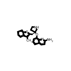 Cc1c(C[C@@]2(Oc3cccc4ccc(N)nc34)CCNC2)sc2ccccc12